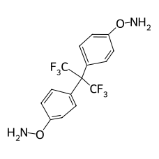 NOc1ccc(C(c2ccc(ON)cc2)(C(F)(F)F)C(F)(F)F)cc1